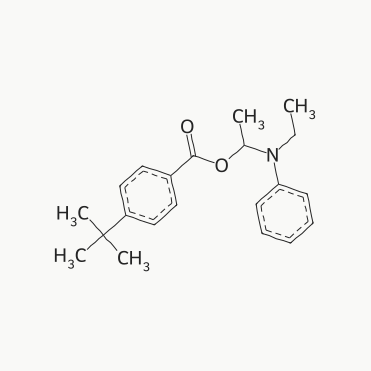 CCN(c1ccccc1)C(C)OC(=O)c1ccc(C(C)(C)C)cc1